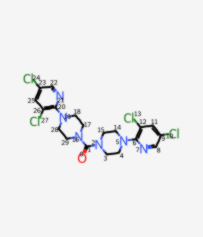 O=C(N1CCN(c2ncc(Cl)cc2Cl)CC1)N1CCN(c2ncc(Cl)cc2Cl)CC1